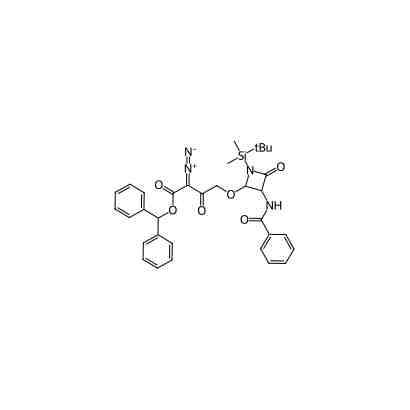 CC(C)(C)[Si](C)(C)N1C(=O)C(NC(=O)c2ccccc2)C1OCC(=O)C(=[N+]=[N-])C(=O)OC(c1ccccc1)c1ccccc1